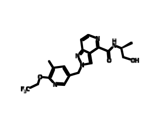 Cc1cc(Cn2cc3c(C(=O)N[C@@H](C)CO)nccc3n2)cnc1OCC(F)(F)F